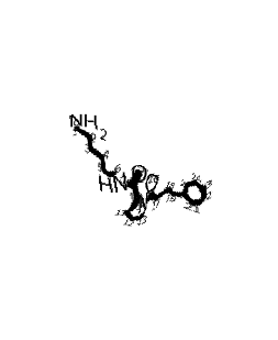 NCCCCCCNC(=O)C1CCCN1C(=O)CCCC1CCCCC1